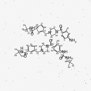 Cc1cc(N)ccc1C(=O)N1CCN(Cc2cccc(C(=O)NC(C)(C)C)c2)CC1.Cc1cc(NC(=O)NCC(C)(C)C)ccc1C(=O)N1CCN(Cc2cccc(C(=O)NC(C)(C)C)c2)CC1